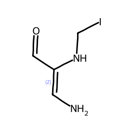 N/C=C(/C=O)NCI